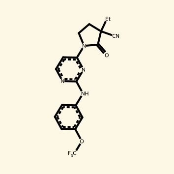 CCC1(C#N)CCN(c2ccnc(Nc3cccc(OC(F)(F)F)c3)n2)C1=O